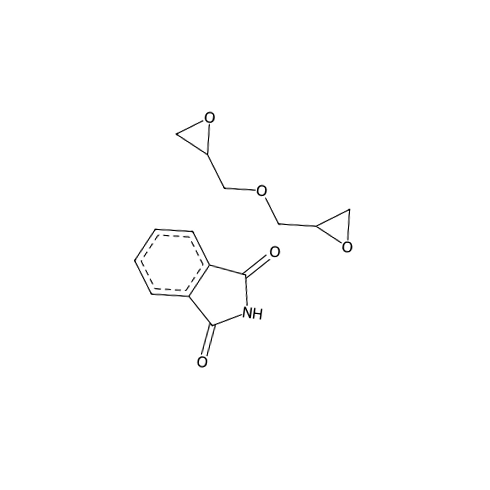 C(OCC1CO1)C1CO1.O=C1NC(=O)c2ccccc21